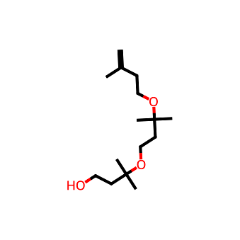 C=C(C)CCOC(C)(C)CCOC(C)(C)CCO